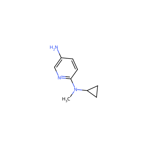 CN(c1ccc(N)cn1)C1CC1